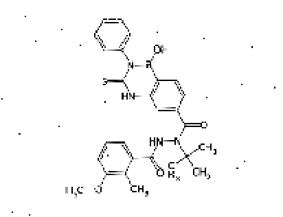 COc1cccc(C(=O)NN(C(=O)c2ccc3c(c2)NC(=S)N(c2ccccc2)B3O)C(C)(C)C)c1C